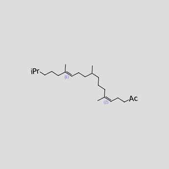 CC(=O)CC/C=C(/C)CCCC(C)CC/C=C(\C)CCCC(C)C